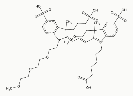 COCCOCCOCCN1/C(=C/C=C/C2=[N+](CCCCCC(=O)O)c3ccc(S(=O)(=O)O)cc3C2(C)CCOC)C(C)(CCCS(=O)(=O)O)c2cc(S(=O)(=O)O)ccc21